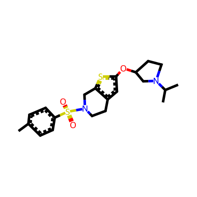 Cc1ccc(S(=O)(=O)N2CCc3cc(OC4CCN(C(C)C)C4)sc3C2)cc1